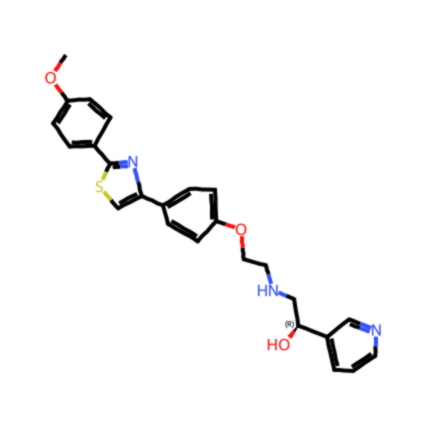 COc1ccc(-c2nc(-c3ccc(OCCNC[C@H](O)c4cccnc4)cc3)cs2)cc1